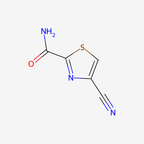 N#Cc1csc(C(N)=O)n1